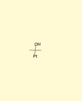 C[C](C)(O)[Pt]